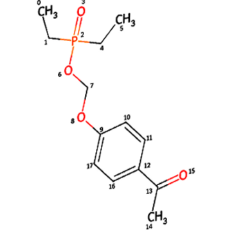 CCP(=O)(CC)OCOc1ccc(C(C)=O)cc1